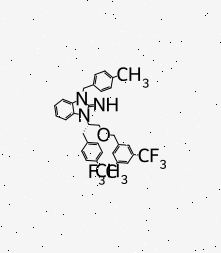 Cc1ccc(C[C@@H](COCc2cc(C(F)(F)F)cc(C(F)(F)F)c2)n2c(=N)n(Cc3ccc(C)cc3)c3ccccc32)cc1